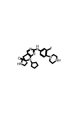 O=C1NCC[C@]12Cc1cnc(Nc3ccc(N4CCNCC4)c(F)c3)nc1N2C1CCCC1